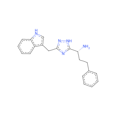 N[C@H](CCc1ccccc1)c1nc(Cc2c[nH]c3ccccc23)n[nH]1